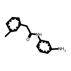 Cc1cccc(CC(=O)Nc2cccc(N)c2)c1